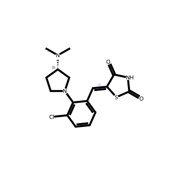 CN(C)[C@H]1CCN(c2c(Cl)cccc2/C=C2\SC(=O)NC2=O)C1